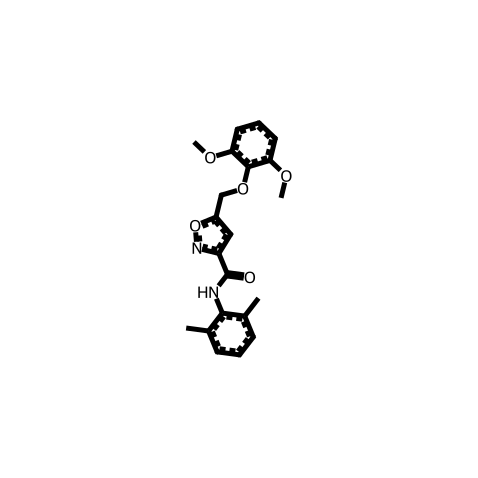 COc1cccc(OC)c1OCc1cc(C(=O)Nc2c(C)cccc2C)no1